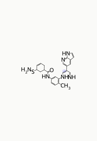 Cc1ccc(NC(=O)C2CC=CC(SN)C2)cc1N/C=C(\C=N)c1cnc2[nH]ccc2c1